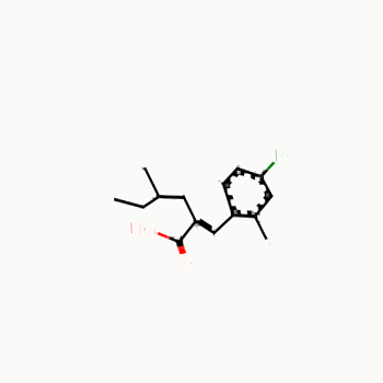 CCC(C)C/C(=C\c1ccc(Br)cc1C)C(=O)O